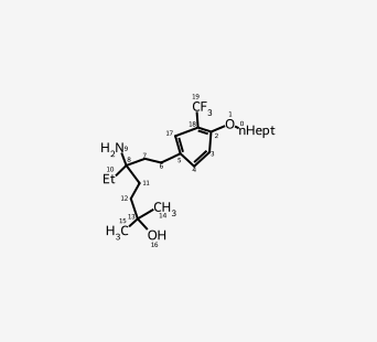 CCCCCCCOc1ccc(CCC(N)(CC)CCC(C)(C)O)cc1C(F)(F)F